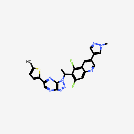 CC(c1c(F)cc2ncc(-c3cnn(C)c3)cc2c1F)n1nnc2ncc(-c3ccc(C#N)s3)nc21